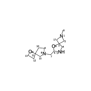 CN1CC2(CNC(CN3CCC4(CCO4)C3)O2)C1